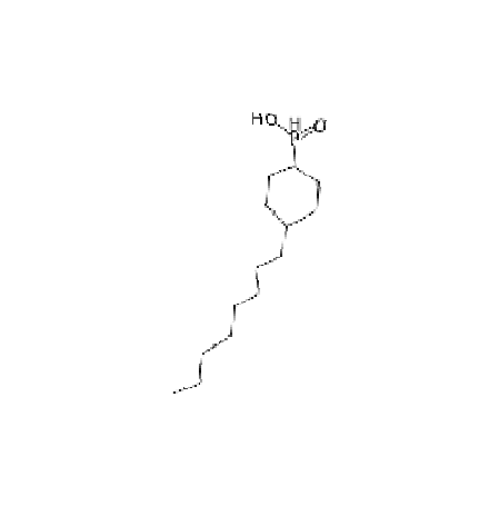 CCCCCCCCC1CCC([PH](=O)O)CC1